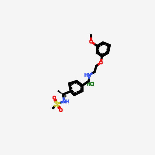 COc1cccc(OCCNCc2ccc([C@@H](C)NS(C)(=O)=O)cc2)c1.Cl